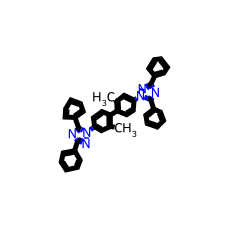 Cc1cc(-n2nc(-c3ccccc3)nc2-c2ccccc2)ccc1-c1ccc(-n2nc(-c3ccccc3)nc2-c2ccccc2)cc1C